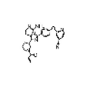 C=CC(=O)N1CCCC(c2nc(-c3ccc(Oc4cc(C#N)ccn4)cc3)n3c(N)nccc23)C1